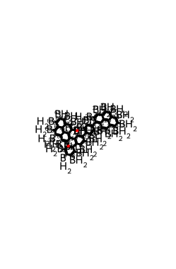 Bc1c(B)c(B)c(-c2c(B)c(B)c(-c3c(B)c(B)c(-c4c(B)c(B)c5c(B)c(B)c6c(B)c(B)c(B)c7c(B)c(B)c4c5c67)c(B)c3B)c(B)c2-c2c(B)c(B)c3c(B)c(B)c4c(B)c(B)c(B)c5c(B)c(B)c2c3c45)c(B)c1B